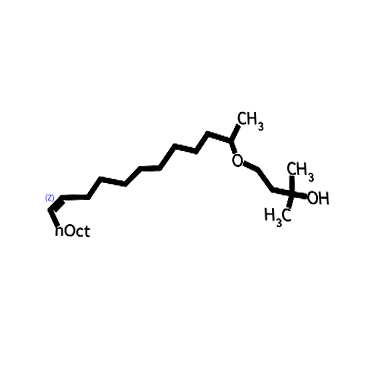 CCCCCCCC/C=C\CCCCCCCCC(C)OCCC(C)(C)O